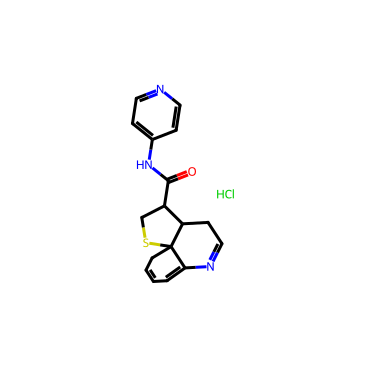 Cl.O=C(Nc1ccncc1)C1CSC23CC=CC=C2N=CCC13